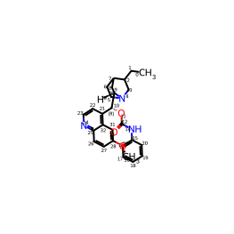 CCC1CN2CCC1C[C@H]2[C@H](OC(=O)Nc1ccccc1)c1ccnc2ccc(OC)cc12